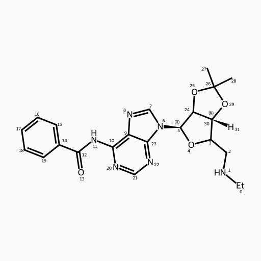 CCNCC1O[C@@H](n2cnc3c(NC(=O)c4ccccc4)ncnc32)C2OC(C)(C)O[C@H]12